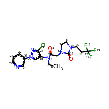 CCN(C(=O)CN1CCN(CCC(F)(F)F)C1=O)c1cn(-c2cccnc2)nc1Cl